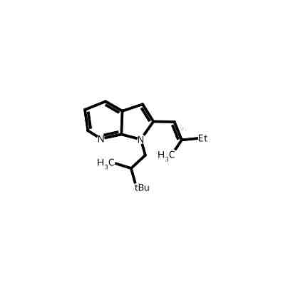 CC/C(C)=C/c1cc2cccnc2n1CC(C)C(C)(C)C